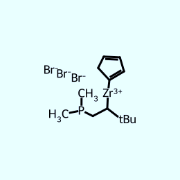 CP(C)C[CH]([Zr+3][C]1=CC=CC1)C(C)(C)C.[Br-].[Br-].[Br-]